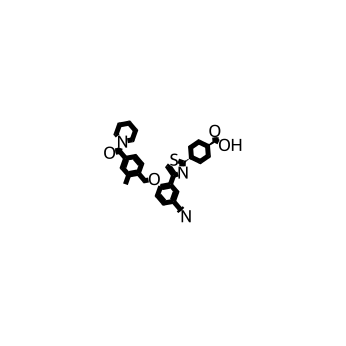 Cc1cc(C(=O)N2CCCCC2)ccc1COc1ccc(C#N)cc1-c1csc([C@H]2CC[C@H](C(=O)O)CC2)n1